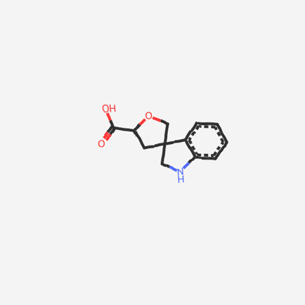 O=C(O)C1CC2(CNc3ccccc32)CO1